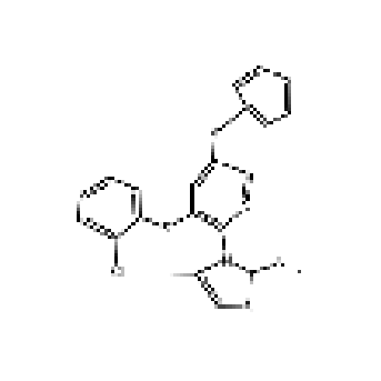 CC1=CSC(N)N1c1ncc(Sc2ccccc2)cc1Sc1ccccc1Cl